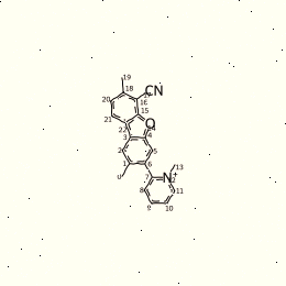 Cc1cc2c(cc1-c1cccc[n+]1C)oc1c(C#N)c(C)ccc12